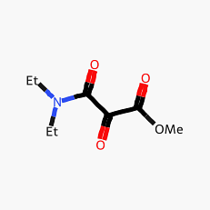 CCN(CC)C(=O)C(=O)C(=O)OC